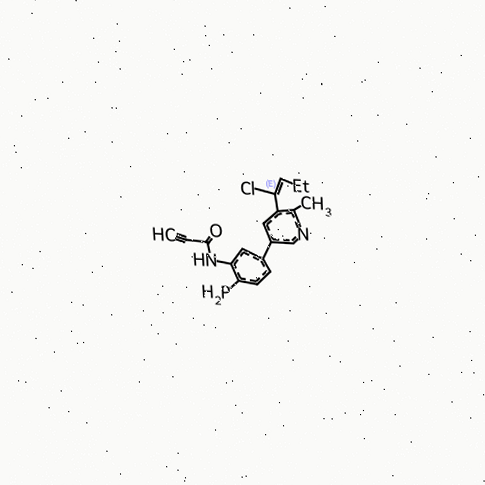 C#CC(=O)Nc1cc(-c2cnc(C)c(/C(Cl)=C\CC)c2)ccc1P